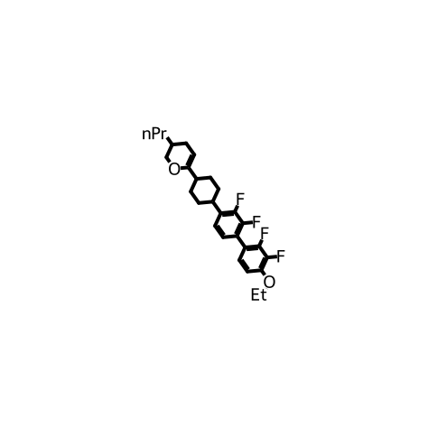 CCCC1CC=C(C2CCC(c3ccc(-c4ccc(OCC)c(F)c4F)c(F)c3F)CC2)OC1